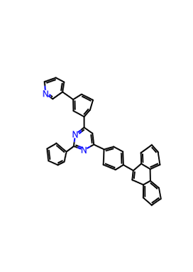 c1ccc(-c2nc(-c3ccc(-c4cc5ccccc5c5ccccc45)cc3)cc(-c3cccc(-c4cccnc4)c3)n2)cc1